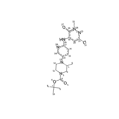 CC1CN(C(=O)OC(C)(C)C)CCN1c1ccc(Nc2cc(Cl)nn(C)c2=O)nc1